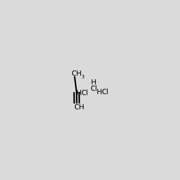 C#CC.Cl.Cl.Cl